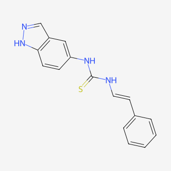 S=C(NC=Cc1ccccc1)Nc1ccc2[nH]ncc2c1